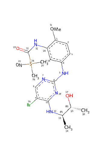 COc1ccc(Nc2ncc(Br)c(N[C@H](C)[C@@H](C)O)n2)cc1NC(=O)S(C)(C)N=O